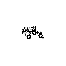 CC(C)(C(=O)C1=CCCS1)C(c1ccccc1)c1ccc(Nc2ccc(F)cc2)c(C=N)c1